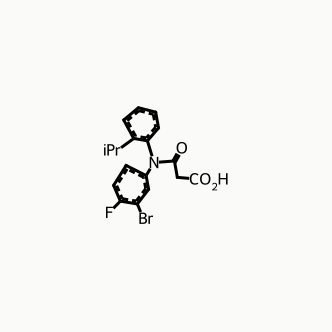 CC(C)c1ccccc1N(C(=O)CC(=O)O)c1ccc(F)c(Br)c1